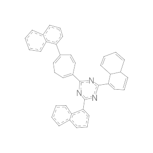 C1=CC2C=CC=C(c3nc(C4=CCC=C(c5cccc6ccccc56)C=C4)nc(-c4cccc5ccccc45)n3)C2C=C1